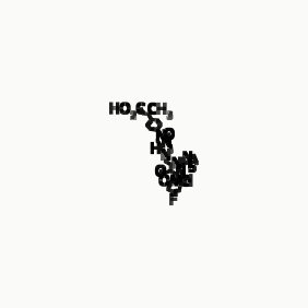 COC(=O)C1=C(CN2CCN3C(=O)N(c4ccc(C(C)CC(=O)O)cc4)C[C@@H]3C2)NC(c2nccs2)=N[C@H]1c1ccc(F)cc1Cl